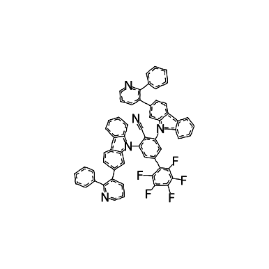 N#Cc1c(-n2c3ccccc3c3ccc(-c4cccnc4-c4ccccc4)cc32)cc(-c2c(F)c(F)c(F)c(F)c2F)cc1-n1c2ccccc2c2ccc(-c3cccnc3-c3ccccc3)cc21